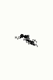 CCc1cccc([C@H]2CN[C@@H](C(=O)N[C@@H](C)C(=O)NCc3ccc(N)nc3C)C2)c1.Cl.Cl